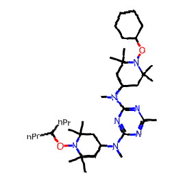 CCCC(CCC)ON1C(C)(C)CC(N(C)c2nc(C)nc(N(C)C3CC(C)(C)N(OC4CCCCC4)C(C)(C)C3)n2)CC1(C)C